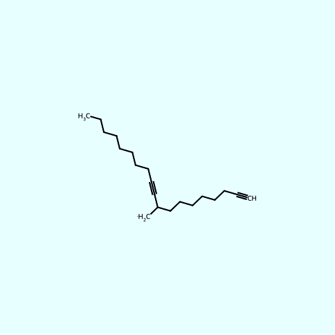 C#CCCCCCCC([CH2])C#CCCCCCCCC